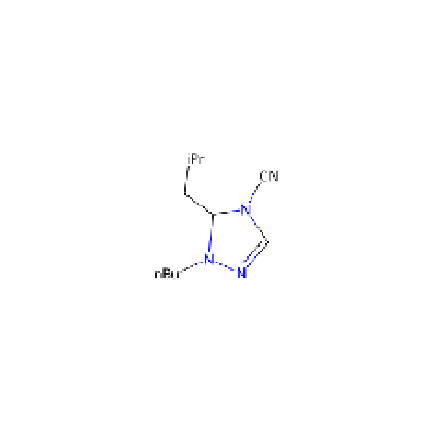 CCCCN1N=CN(C#N)C1CC(C)C